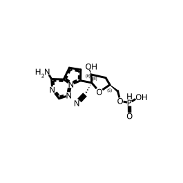 N#C[C@@]1(c2ccc3c(N)ncnn23)O[C@H](CO[PH](=O)O)C[C@H]1O